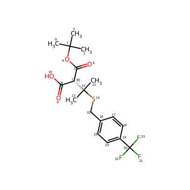 CC(C)(C)OC(=O)[C@@H](C(=O)O)C(C)(C)SCc1ccc(C(F)(F)F)cc1